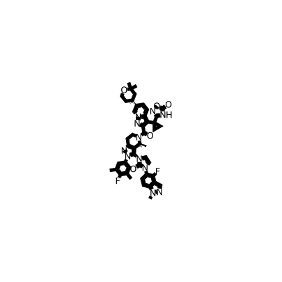 Cc1cc(-n2nc3c(c2-n2ccn(-c4ccc5c(cnn5C)c4F)c2=O)[C@H](C)N(C(=O)c2nn4cc([C@@H]5CCOC(C)(C)C5)ccc4c2C2(c4noc(=O)[nH]4)CC2)CC3)cc(C)c1F